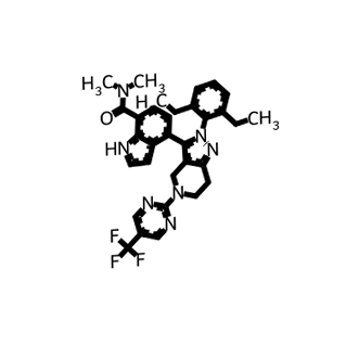 CCc1cccc(CC)c1-n1nc2c(c1-c1ccc(C(=O)N(C)C)c3[nH]ccc13)CN(c1ncc(C(F)(F)F)cn1)CC2